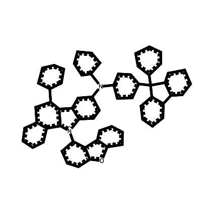 c1ccc(-c2cc3ccccc3c3c2c2cc(N(c4ccccc4)c4ccc(C5(c6ccccc6)c6ccccc6-c6ccccc65)cc4)ccc2n3-c2cccc3oc4ccccc4c23)cc1